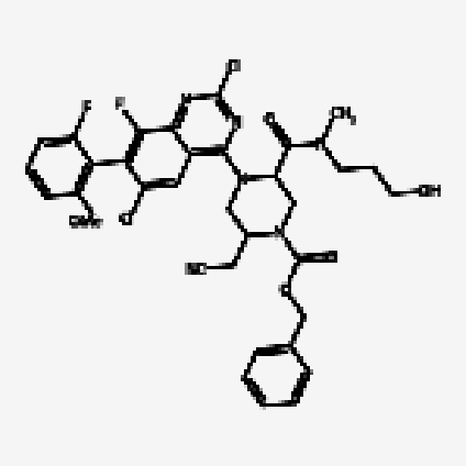 COc1cccc(F)c1-c1c(Cl)cc2c(N3CC(CC#N)N(C(=O)OCc4ccccc4)CC3C(=O)N(C)CCCO)nc(Cl)nc2c1F